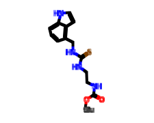 CC(C)(C)OC(=O)NCCNC(=S)NCc1cccc2[nH]ccc12